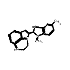 Cc1ccc2c(c1)NC(c1cc3cccc4c3n1CCN4)N2C